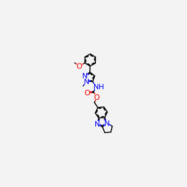 COc1ccccc1-c1cc(NC(=O)OCc2ccc3c(c2)nc2n3CCC2)n(C)n1